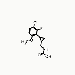 COc1ccc(Cl)c(F)c1C1CC1CNC(=O)O